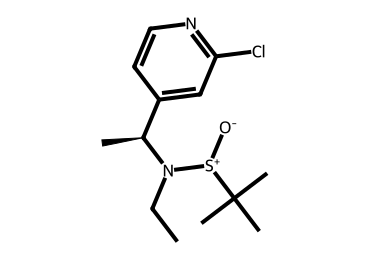 CCN([C@@H](C)c1ccnc(Cl)c1)[S+]([O-])C(C)(C)C